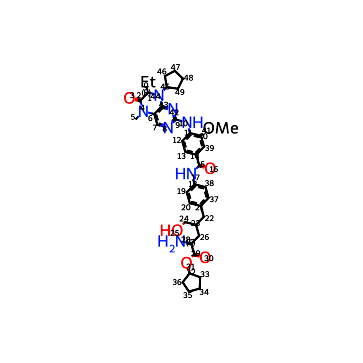 CC[C@@H]1C(=O)N(C)c2cnc(Nc3ccc(C(=O)Nc4ccc(CC(CO)C[C@H](N)C(=O)OC5CCCC5)cc4)cc3OC)nc2N1C1CCCC1